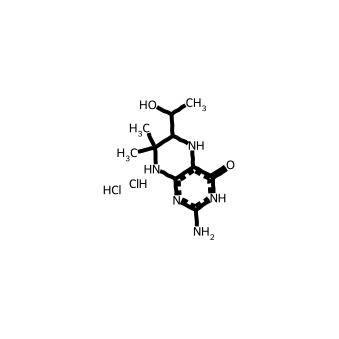 CC(O)C1Nc2c(nc(N)[nH]c2=O)NC1(C)C.Cl.Cl